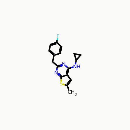 Cc1cc2c(NC3CC3)nc(Cc3ccc(F)cc3)nc2s1